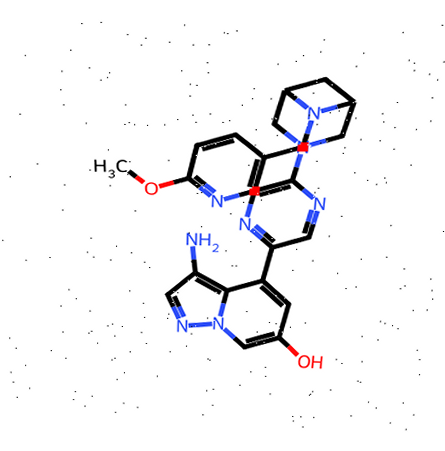 COc1ccc(CN2C3CC2CN(c2cnc(-c4cc(O)cn5ncc(N)c45)cn2)C3)cn1